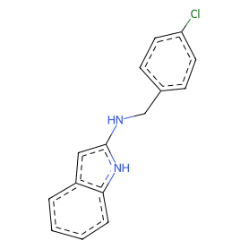 Clc1ccc(CNc2cc3ccccc3[nH]2)cc1